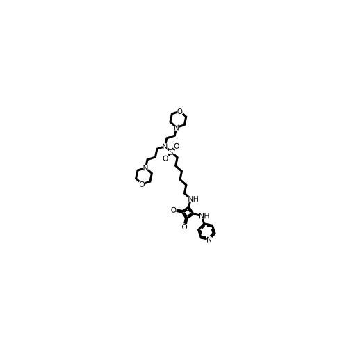 O=c1c(NCCCCCCS(=O)(=O)N(CCCN2CCOCC2)CCN2CCOCC2)c(Nc2ccncc2)c1=O